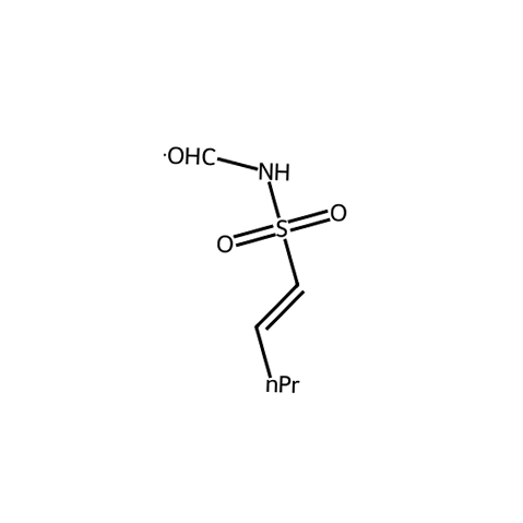 CCCC=CS(=O)(=O)N[C]=O